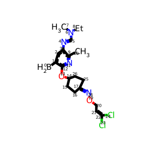 Bc1cc(/N=C/N(C)CC)c(C)nc1OC1CCC(=NOCC=C(Cl)Cl)CC1